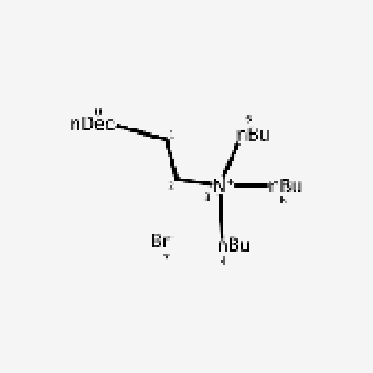 CCCCCCCCCCCC[N+](CCCC)(CCCC)CCCC.[Br-]